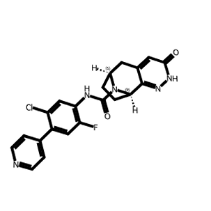 O=C(Nc1cc(Cl)c(-c2ccncc2)cc1F)N1[C@H]2CC[C@@H]1c1n[nH]c(=O)cc1C2